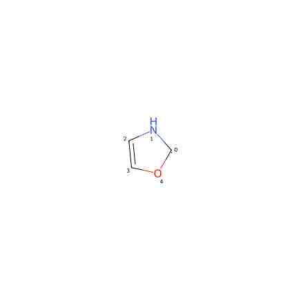 [CH]1NC=CO1